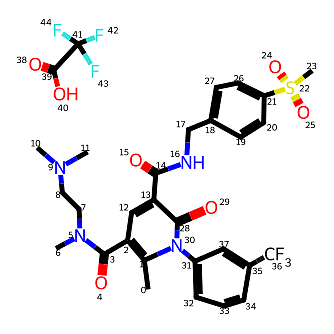 Cc1c(C(=O)N(C)CCN(C)C)cc(C(=O)NCc2ccc(S(C)(=O)=O)cc2)c(=O)n1-c1cccc(C(F)(F)F)c1.O=C(O)C(F)(F)F